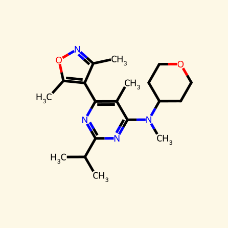 Cc1noc(C)c1-c1nc(C(C)C)nc(N(C)C2CCOCC2)c1C